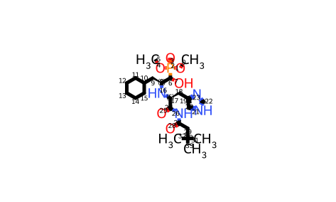 COP(=O)(OC)C(O)[C@H](CC1CCCCC1)N[C@@H](Cc1c[nH]cn1)C(=O)NC(=O)CC(C)(C)C